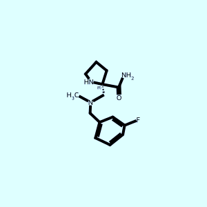 CN(Cc1cccc(F)c1)C[C@@]1(C(N)=O)CCCN1